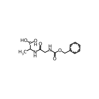 CC(NC(=O)CNC(=O)OCc1ccccc1)P(O)O